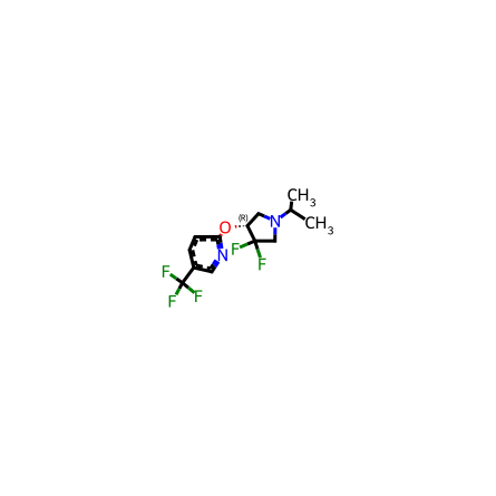 CC(C)N1C[C@@H](Oc2ccc(C(F)(F)F)cn2)C(F)(F)C1